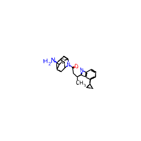 CC(CC(=O)N1C2CC3CC(CC1C3)C(N)C2)C1=Nc2cccc(C3CC3)c21